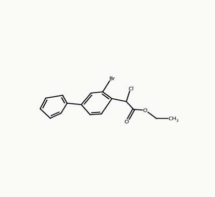 CCOC(=O)C(Cl)c1ccc(-c2ccccc2)cc1Br